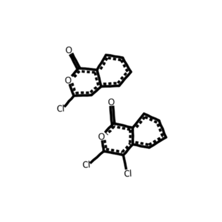 O=c1oc(Cl)c(Cl)c2ccccc12.O=c1oc(Cl)cc2ccccc12